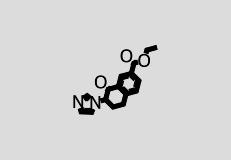 CCOC(=O)c1ccc2c(c1)C(=O)C(n1ccnc1)CC2